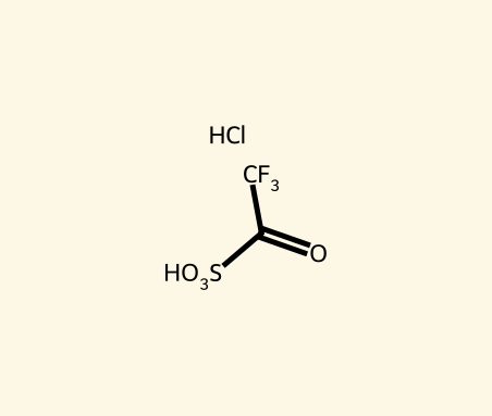 Cl.O=C(C(F)(F)F)S(=O)(=O)O